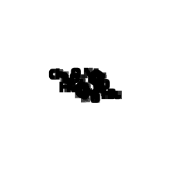 CCCCc1oc2ccc([N+](=O)[O-])cc2c1C(=O)c1ccc(NC(=O)CCCl)cc1